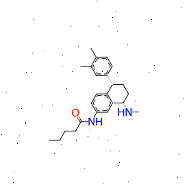 CCCCC(=O)Nc1ccc2c(c1)[C@@H](NC)CC[C@H]2c1ccc(C)c(C)c1